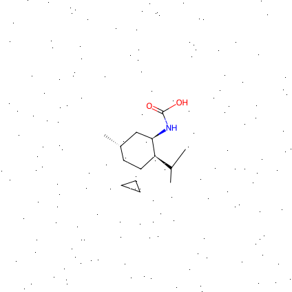 C1CC1.CC(C)[C@H]1CC[C@H](C)C[C@H]1NC(=O)O